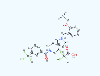 CC(C)COc1ccccc1CN1CCC2(CCN(C(=O)c3cccc(C(F)(F)F)c3)CC2)C1.O=C(O)C(F)(F)F